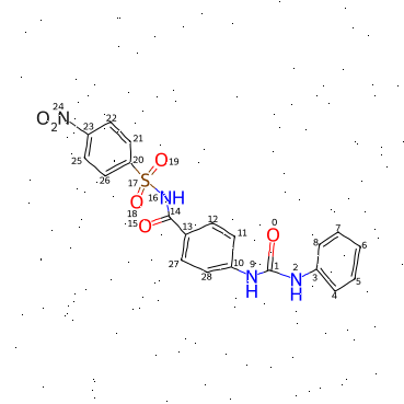 O=C(Nc1ccccc1)Nc1ccc(C(=O)NS(=O)(=O)c2ccc([N+](=O)[O-])cc2)cc1